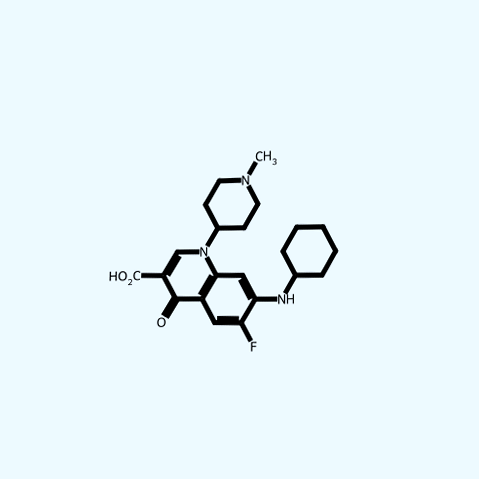 CN1CCC(n2cc(C(=O)O)c(=O)c3cc(F)c(NC4CCCCC4)cc32)CC1